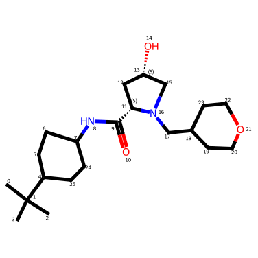 CC(C)(C)C1CCC(NC(=O)[C@@H]2C[C@H](O)CN2CC2CCOCC2)CC1